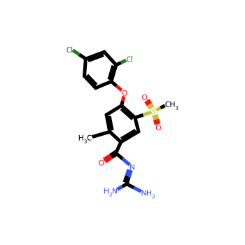 Cc1cc(Oc2ccc(Cl)cc2Cl)c(S(C)(=O)=O)cc1C(=O)N=C(N)N